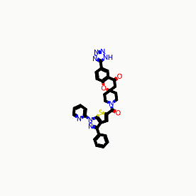 O=C1CC2(CCN(C(=O)c3cc4c(-c5ccccc5)nn(-c5ccccn5)c4s3)CC2)Oc2ccc(-c3nnn[nH]3)cc21